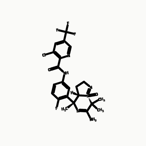 CC1(C)C(N)=N[C@](C)(c2cc(NC(=O)c3ncc(C(F)(F)F)cc3Cl)ccc2F)[C@@H]2CCN=[S@@]21=O